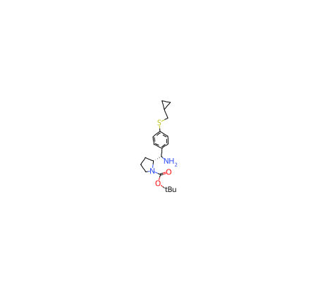 CC(C)(C)OC(=O)N1CCC[C@@H]1C(N)c1ccc(SCC2CC2)cc1